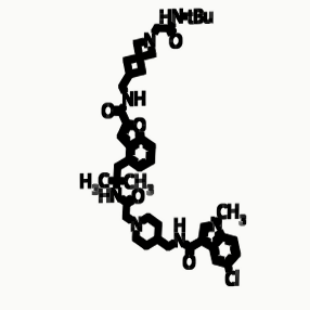 Cn1cc(C(=O)NCC2CCN(CC(=O)NC(C)(C)Cc3cccc4oc(C(=O)NCC5CC6(C5)CN(CC(=O)NC(C)(C)C)C6)cc34)CC2)c2cc(Cl)ccc21